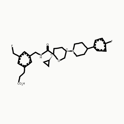 O=C(O)CCc1cc(CF)cc(CNC(=O)[C@@]2(C3CC3)CC[C@@H](N3CCC(c4ccc(F)cc4)CC3)CO2)c1